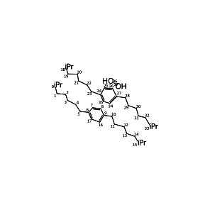 CC(C)CCCCCc1ccc(CCCCCC(C)C)cc1.CC(C)CCCCCc1ccc(CCCCCC(C)C)cc1.OO